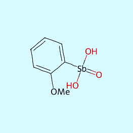 COc1cccc[c]1[Sb](=[O])([OH])[OH]